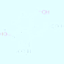 O=C(O)CCCCCC(=O)O.OCC1CCC(CO)CC1